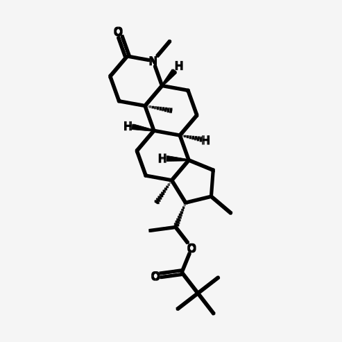 CC1C[C@H]2[C@@H]3CC[C@H]4N(C)C(=O)CC[C@]4(C)[C@H]3CC[C@]2(C)[C@H]1C(C)OC(=O)C(C)(C)C